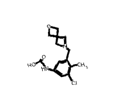 Cc1c(Cl)cc(NC(=O)O)cc1CN1CC2(COC2)C1